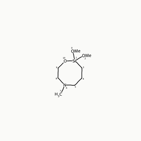 CO[Si]1(OC)CCCN(C)CCO1